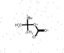 CC(C)(C)C(C)(C)OC(=O)Cl